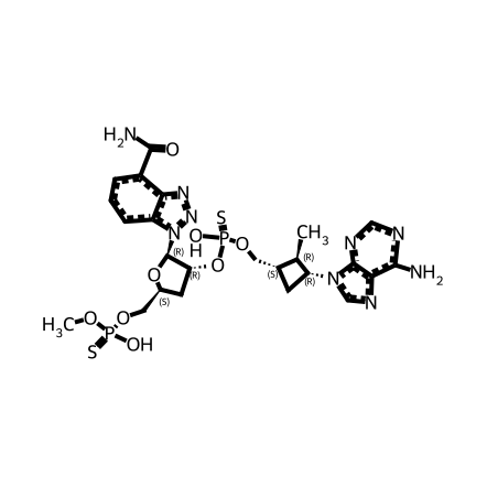 COP(O)(=S)OC[C@@H]1C[C@@H](OP(O)(=S)OC[C@H]2C[C@@H](n3cnc4c(N)ncnc43)[C@@H]2C)[C@H](n2nnc3c(C(N)=O)cccc32)O1